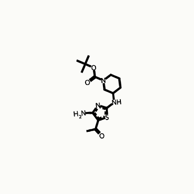 CC(=O)c1sc(NC2CCCN(C(=O)OC(C)(C)C)C2)nc1N